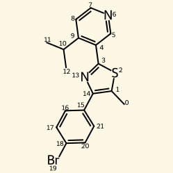 Cc1sc(-c2cnccc2C(C)C)nc1-c1ccc(Br)cc1